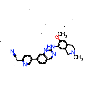 COc1cc2c(cc1Nc1ncc3ccc(-c4ccc(CC#N)nc4)cc3n1)CN(C)CC2